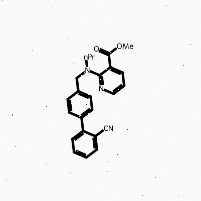 CCCN(Cc1ccc(-c2ccccc2C#N)cc1)c1ncccc1C(=O)OC